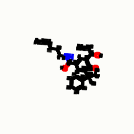 CNC(=O)c1cc(C(=O)NCCCNC(C)=O)cc2c1OC[C@]2(C)c1ccccc1